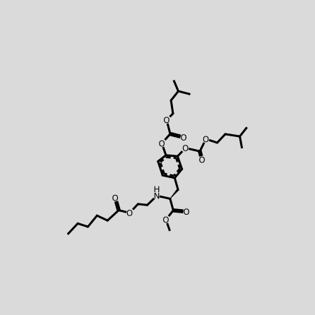 CCCCCC(=O)OCCN[C@@H](Cc1ccc(OC(=O)OCCC(C)C)c(OC(=O)OCCC(C)C)c1)C(=O)OC